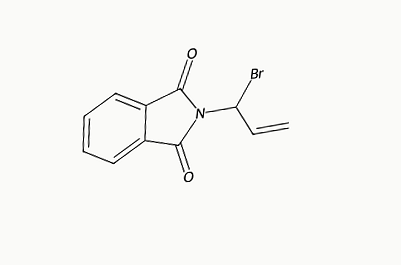 C=CC(Br)N1C(=O)c2ccccc2C1=O